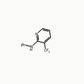 CC(C)Nc1ncccc1C(F)(F)F